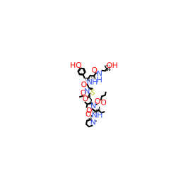 CCCC(=O)OCN(C(=O)[C@@H](NC(=O)[C@H]1CCCCN1C)[C@@H](C)CC)[C@H](C[C@@H](OC(C)=O)c1nc(C(=O)N[C@@H](Cc2ccc(O)cc2)C[C@H](C)C(=O)NCC[Si](C)(C)O)cs1)C(C)C